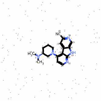 CN(C)[C@H]1CCCN(c2ccnc3[nH]c4cnc(C#N)cc4c23)C1